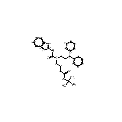 CC(C)(C)OC(=O)CCCN(CCC(c1ccccc1)c1ccccc1)C(=O)Nc1nc2ccccc2s1